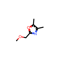 COCc1nc(C)c(C)o1